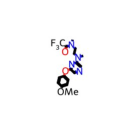 COc1ccc(Oc2cncc(N(C)CCN(C)C(=O)C(F)(F)F)n2)cc1